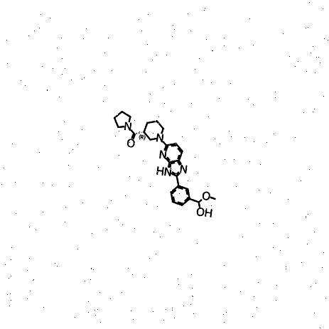 COC(O)c1cccc(-c2nc3ccc(N4CCC[C@@H](C(=O)N5CCCC5)C4)nc3[nH]2)c1